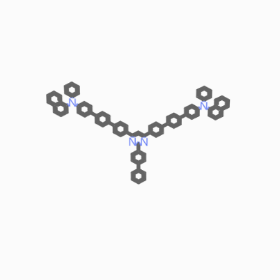 c1ccc(-c2ccc(-c3nc(-c4ccc(-c5ccc(-c6ccc(N(c7ccccc7)c7cccc8ccccc78)cc6)cc5)cc4)cc(-c4ccc(-c5ccc(-c6ccc(N(c7ccccc7)c7cccc8ccccc78)cc6)cc5)cc4)n3)cc2)cc1